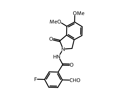 COc1ccc2c(c1OC)C(=O)N(NC(=O)c1cc(F)ccc1C=O)C2